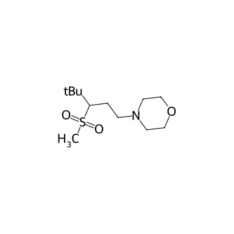 CC(C)(C)C(CCN1CCOCC1)S(C)(=O)=O